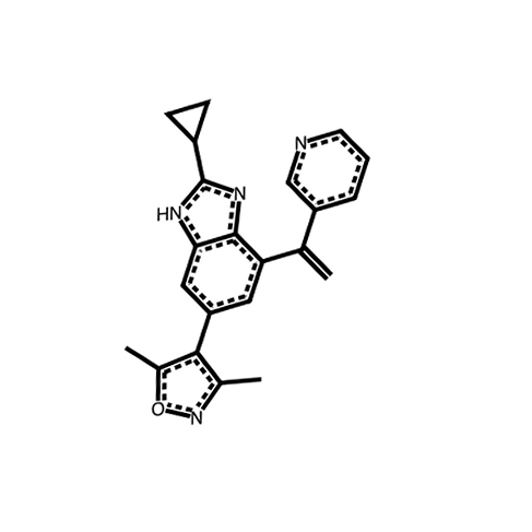 C=C(c1cccnc1)c1cc(-c2c(C)noc2C)cc2[nH]c(C3CC3)nc12